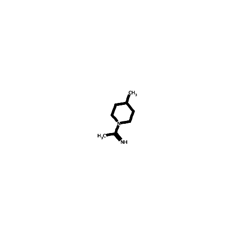 CC(=N)N1CCC(C)CC1